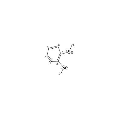 C[Se]c1[c]cccc1[Se]C